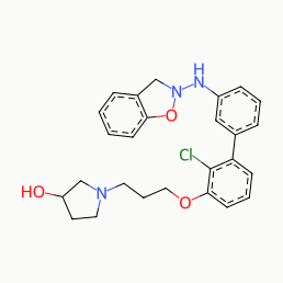 OC1CCN(CCCOc2cccc(-c3cccc(NN4Cc5ccccc5O4)c3)c2Cl)C1